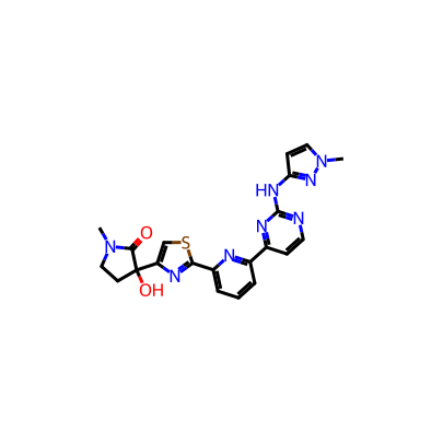 CN1CCC(O)(c2csc(-c3cccc(-c4ccnc(Nc5ccn(C)n5)n4)n3)n2)C1=O